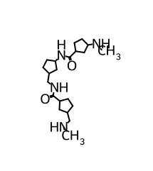 CNCC1CCC(C(=O)NCC2CCC(NC(=O)C3CCC(NC)C3)C2)C1